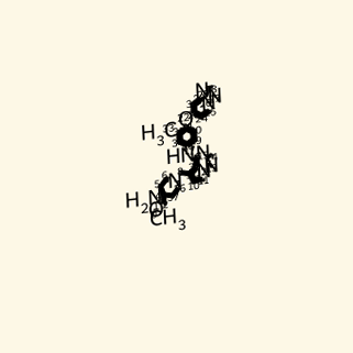 COCC1(N)CCN(Cc2ccn3ncnc(Nc4ccc(Oc5ccn6ncnc6c5)c(C)c4)c23)CC1